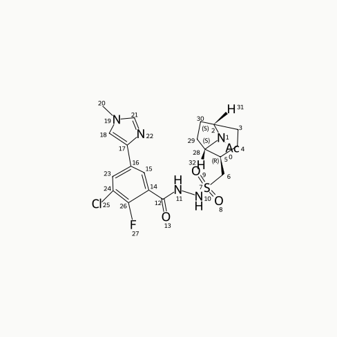 CC(=O)N1[C@H]2CC[C@@H](CS(=O)(=O)NNC(=O)c3cc(-c4cn(C)cn4)cc(Cl)c3F)[C@@H]1CC2